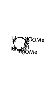 COC(=O)[C@@H]1C[C@@H]2CN1C(=O)[C@H](C(C)(C)C)NC(=O)CC[C@@H]1C[C@H]1CCCC#Cc1nc3ccc(OC)cc3nc1O2